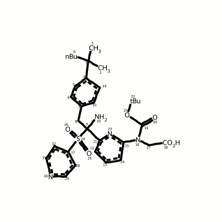 CCCCC(C)(C)c1ccc(CC(N)(c2cccc(N(CC(=O)O)C(=O)OC(C)(C)C)n2)S(=O)(=O)c2ccncc2)cc1